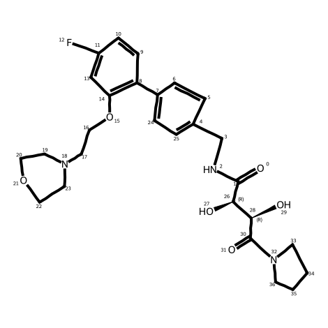 O=C(NCc1ccc(-c2ccc(F)cc2OCCN2CCOCC2)cc1)[C@H](O)[C@@H](O)C(=O)N1CCCC1